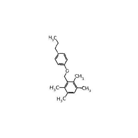 CCCc1ccc(OCc2c(C)c(C)cc(C)c2C)cc1